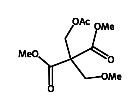 COCC(COC(C)=O)(C(=O)OC)C(=O)OC